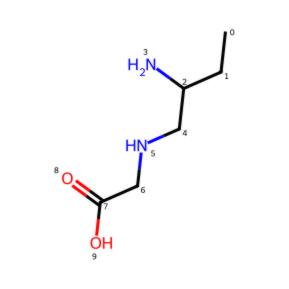 CCC(N)CNCC(=O)O